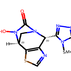 CSn1cnnc1[C@@H]1c2ncsc2[C@@H]2CN1C(=O)N2O